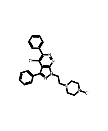 Clc1c(-c2ccccc2)nnc2c1c(-c1ccccc1)nn2CCN1CCN(Cl)CC1